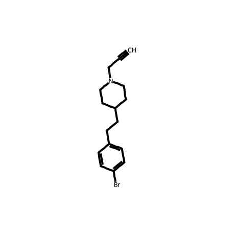 C#CCN1CCC(CCc2ccc(Br)cc2)CC1